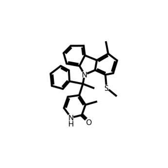 CSc1ccc(C)c2c3ccccc3n(C(C)(c3ccccc3)c3cc[nH]c(=O)c3C)c12